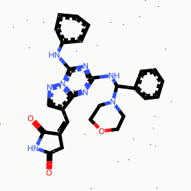 O=C1CC(=Cc2cnn3c(Nc4ccccc4)nc(NC(c4ccccc4)N4CCOCC4)nc23)C(=O)N1